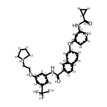 O=C(Nc1cc(OCCN2CCCC2)cc(C(F)(F)F)c1)c1ccc2ccc(Oc3ccnc(NC(=O)C4CC4)c3)cc2c1